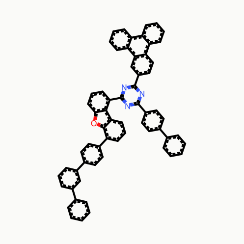 c1ccc(-c2ccc(-c3nc(-c4ccc5c6ccccc6c6ccccc6c5c4)nc(-c4cccc5oc6c(-c7ccc(-c8cccc(-c9ccccc9)c8)cc7)cccc6c45)n3)cc2)cc1